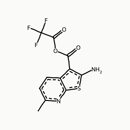 Cc1ccc2c(C(=O)OC(=O)C(F)(F)F)c(N)sc2n1